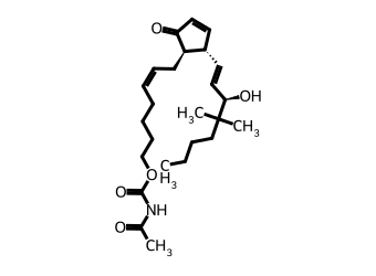 CCCCC(C)(C)[C@H](O)/C=C/[C@H]1C=CC(=O)[C@@H]1C/C=C\CCCCOC(=O)NC(C)=O